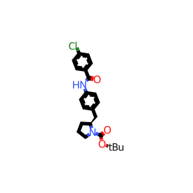 CC(C)(C)OC(=O)N1CCC[C@H]1Cc1ccc(NC(=O)c2ccc(Cl)cc2)cc1